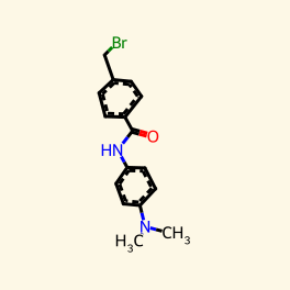 CN(C)c1ccc(NC(=O)c2ccc(CBr)cc2)cc1